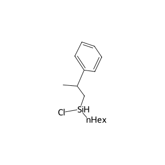 CCCCCC[SiH](Cl)CC(C)c1ccccc1